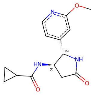 COc1cc([C@@H]2NC(=O)C[C@H]2NC(=O)C2CC2)ccn1